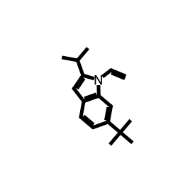 C=Cn1c(C(C)C)cc2ccc(C(C)(C)C)cc21